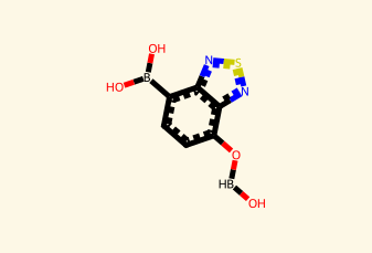 OBOc1ccc(B(O)O)c2nsnc12